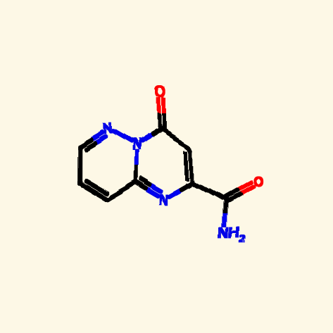 NC(=O)c1cc(=O)n2ncccc2n1